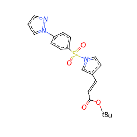 CC(C)(C)OC(=O)C=Cc1ccn(S(=O)(=O)c2ccc(-n3cccn3)cc2)c1